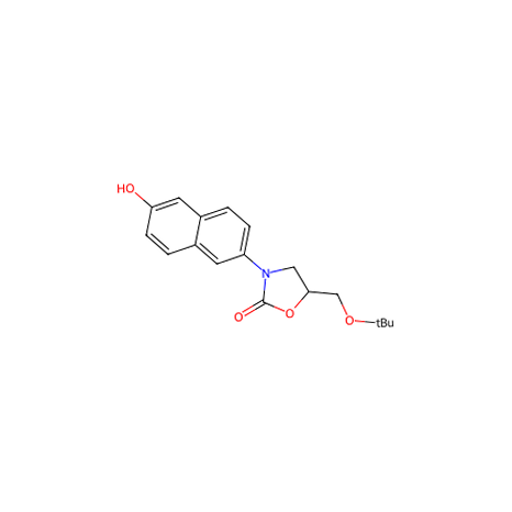 CC(C)(C)OCC1CN(c2ccc3cc(O)ccc3c2)C(=O)O1